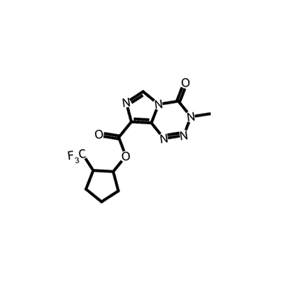 Cn1nnc2c(C(=O)OC3CCCC3C(F)(F)F)ncn2c1=O